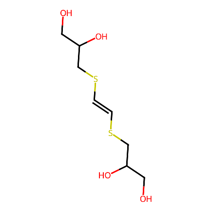 OCC(O)CSC=CSCC(O)CO